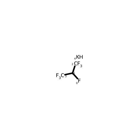 F[C](C(F)(F)F)C(F)(F)F.[KH]